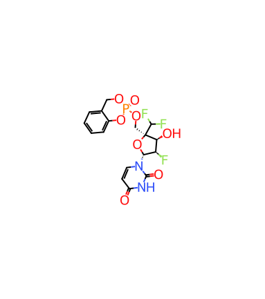 O=c1ccn([C@@H]2O[C@@](COP3(=O)OCc4ccccc4O3)(C(F)F)[C@@H](O)[C@H]2F)c(=O)[nH]1